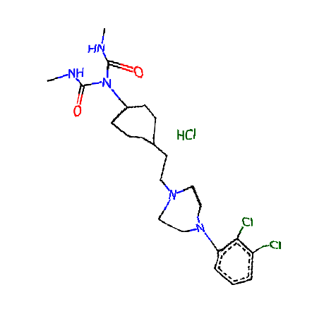 CNC(=O)N(C(=O)NC)C1CCC(CCN2CCN(c3cccc(Cl)c3Cl)CC2)CC1.Cl